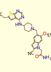 CCOc1cc2c(cc1CN1CCC(Nc3ncnc4sc(CC(F)(F)F)cc34)CC1)cc(C#N)n2CC(N)=O